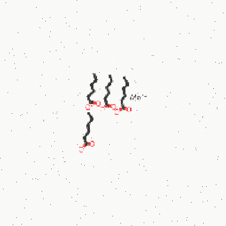 CCCCCC(=O)[O-].CCCCCC(=O)[O-].CCCCCC(=O)[O-].CCCCCC(=O)[O-].[Mo+4]